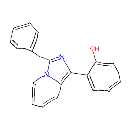 Oc1ccccc1-c1nc(-c2ccccc2)n2ccccc12